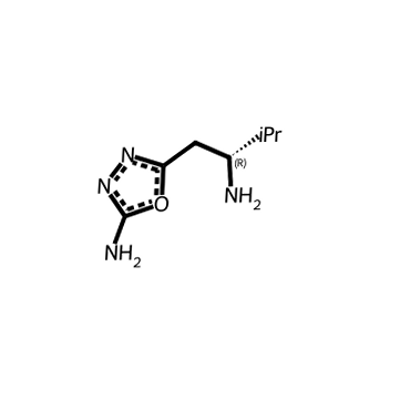 CC(C)[C@H](N)Cc1nnc(N)o1